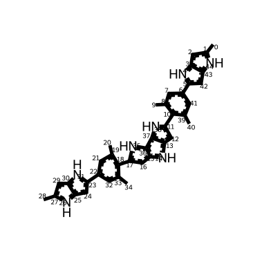 Cc1cc2[nH]c(-c3cc(C)c(-c4cc5[nH]c6cc(-c7c(C)cc(-c8cc9[nH]c(C)cc9[nH]8)cc7C)[nH]c6c5[nH]4)c(C)c3)cc2[nH]1